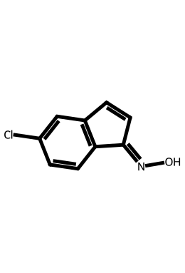 ON=C1C=Cc2cc(Cl)ccc21